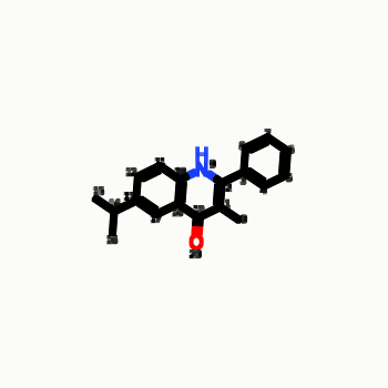 Cc1c(-c2ccccc2)[nH]c2ccc(C(C)C)cc2c1=O